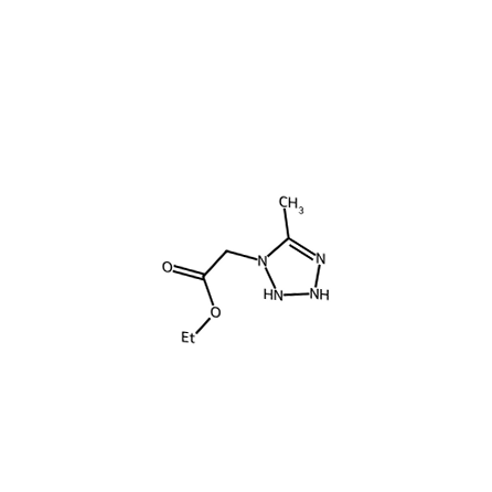 CCOC(=O)CN1NNN=C1C